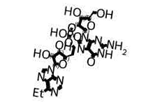 CCc1ncnc2c1ncn2[C@@H]1O[C@H](CCOP(=O)(O)O[C@@H]2[C@H](O)[C@@H](CO)O[C@H]2n2cnc3c(=O)[nH]c(N)nc32)[C@@H](O)[C@H]1O